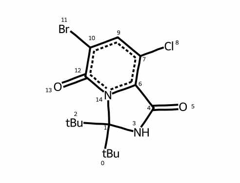 CC(C)(C)C1(C(C)(C)C)NC(=O)c2c(Cl)cc(Br)c(=O)n21